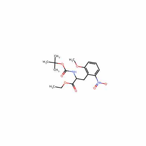 CCOC(=O)C(Cc1c(OC)cccc1[N+](=O)[O-])NC(=O)OC(C)(C)C